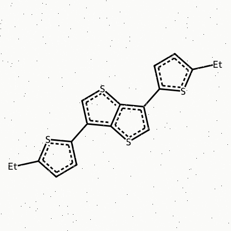 CCc1ccc(-c2csc3c(-c4ccc(CC)s4)csc23)s1